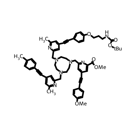 COC(=O)c1cc(C#Cc2ccc(OC)cc2)cc(CN2CCN(Cc3cc(C#Cc4ccc(C)cc4)cc(C)n3)CCN(Cc3cc(C#Cc4ccc(OCCCNC(=O)OC(C)(C)C)cc4)cc(C)n3)CC2)n1